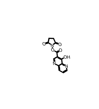 O=C(ON1C(=O)CCC1=O)c1cnc2cccnc2c1O